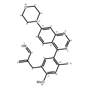 C=C(C=N)Cc1cc(-c2ncnc3cc(N4CCOCC4)ccc23)c(F)cc1OC